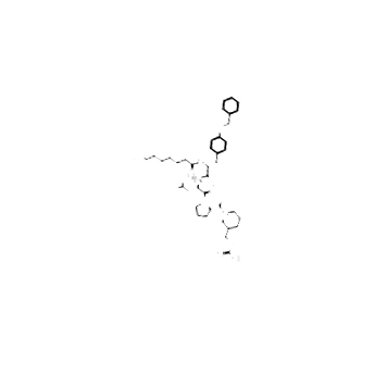 CCCCCCCC(=O)N[C@@H](Cc1ccc(OCc2ccccc2)cc1)C(=O)N[C@@H](CC(C)C)C(=O)N1CCC[C@H]1C(=O)N1CCCC(CNC(=N)N)C1